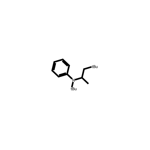 CC(CC(C)(C)C)N(c1ccccc1)C(C)(C)C